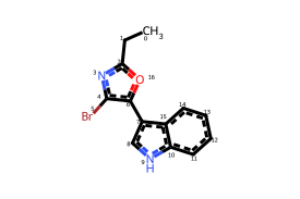 CCc1nc(Br)c(-c2c[nH]c3ccccc23)o1